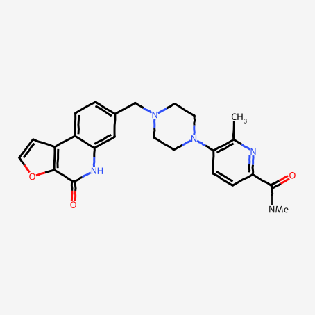 CNC(=O)c1ccc(N2CCN(Cc3ccc4c(c3)[nH]c(=O)c3occc34)CC2)c(C)n1